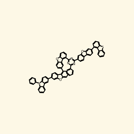 c1ccc(-c2nc(-c3ccc4c(c3)oc3cc(-c5cccc6sc7ccccc7c56)ccc34)nc(-c3cccc4oc5ccc(-c6cccc7oc8cc(-c9ccc%10c(c9)c9ccccc9n%10-c9ccccc9)ccc8c67)cc5c34)n2)cc1